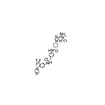 CN1CCN(Cc2ccc(NC(=O)Cc3ccc(NC(=O)[C@H]4CC[C@@H](n5cnc6c(N)nc(Cl)nc65)CC4)cc3)cc2C(F)(F)F)CC1